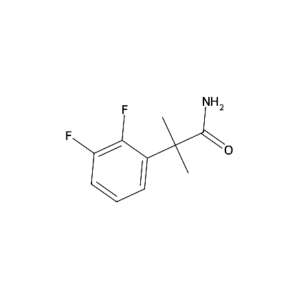 CC(C)(C(N)=O)c1cccc(F)c1F